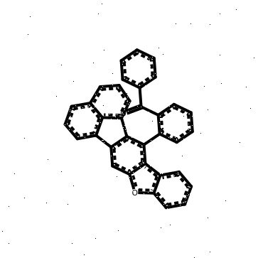 O=C(c1ccccc1)c1ccccc1-c1c2c(cc3oc4ccccc4c13)-c1cccc3cccc-2c13